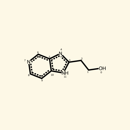 OCCc1nc2cnccc2[nH]1